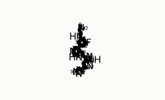 CN(C)CCNc1cc(F)cc(-c2cncc3[nH]c(-c4n[nH]c5ncc(-c6cnn(C)c6)cc45)cc23)c1